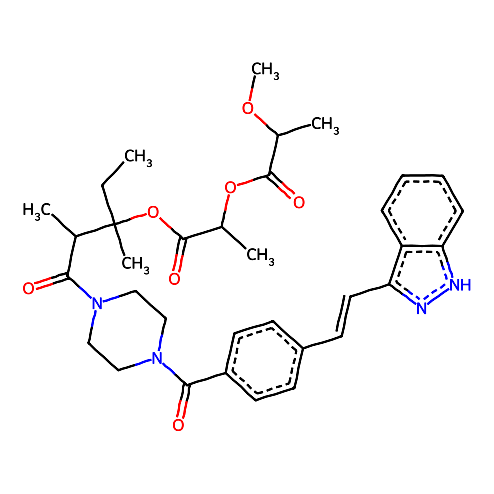 CCC(C)(OC(=O)C(C)OC(=O)C(C)OC)C(C)C(=O)N1CCN(C(=O)c2ccc(/C=C/c3n[nH]c4ccccc34)cc2)CC1